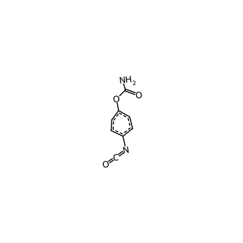 NC(=O)Oc1ccc(N=C=O)cc1